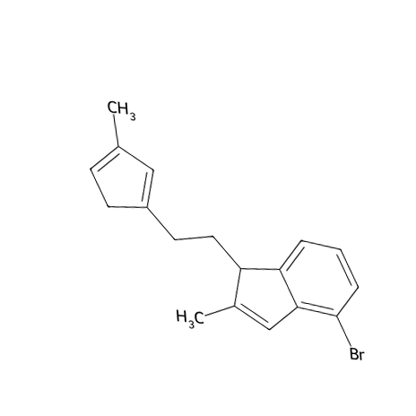 CC1=CCC(CCC2C(C)=Cc3c(Br)cccc32)=C1